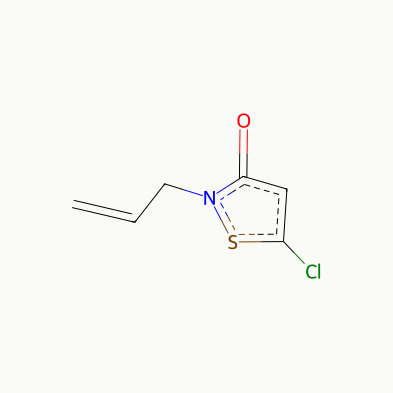 C=CCn1sc(Cl)cc1=O